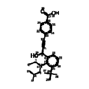 CCN(CC(C)C)c1c(C(O)C#Cc2ccc(C(=O)O)cc2)cccc1C(C)(C)C